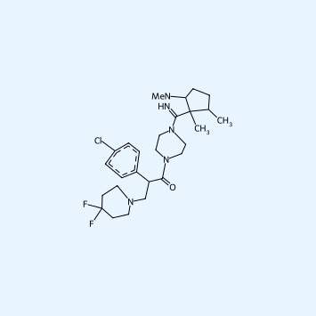 CNC1CCC(C)C1(C)C(=N)N1CCN(C(=O)C(CN2CCC(F)(F)CC2)c2ccc(Cl)cc2)CC1